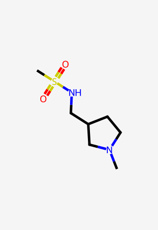 CN1CCC(CNS(C)(=O)=O)C1